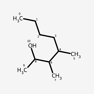 CCCCC(C)C(C)C(C)O